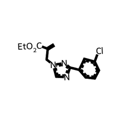 C=C(Cn1cnc(-c2cccc(Cl)c2)n1)C(=O)OCC